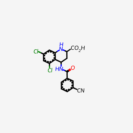 N#Cc1cccc(C(=O)NC2CC(C(=O)O)Nc3cc(Cl)cc(Cl)c32)c1